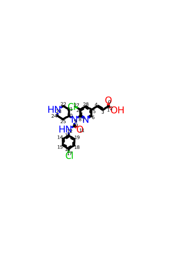 O=C(O)C=Cc1cnc(N(C(=O)Nc2ccc(Cl)cc2)C2CCNCC2)c(Cl)c1